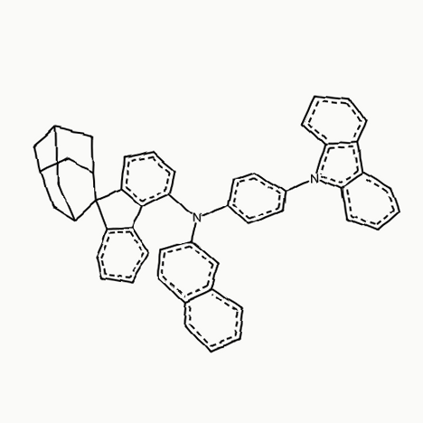 c1ccc2c(c1)-c1c(N(c3ccc(-n4c5ccccc5c5ccccc54)cc3)c3ccc4ccccc4c3)cccc1C21C2CC3CC(C2)CC1C3